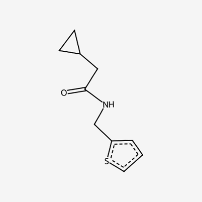 O=C(CC1CC1)NCc1cccs1